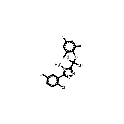 Cn1c(-c2cc(Cl)ccc2Cl)nnc1C(C)(C)Oc1c(F)cc(F)cc1F